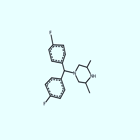 CC1CN(C(c2ccc(F)cc2)c2ccc(F)cc2)CC(C)N1